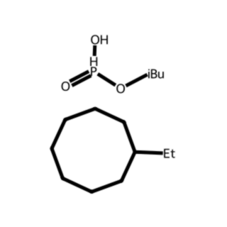 CCC(C)O[PH](=O)O.CCC1CCCCCCC1